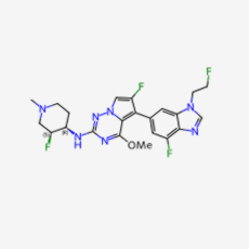 COc1nc(N[C@@H]2CCN(C)C[C@@H]2F)nn2cc(F)c(-c3cc(F)c4ncn(CCF)c4c3)c12